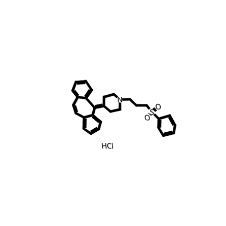 Cl.O=S(=O)(CCCN1CCC(=C2c3ccccc3C=Cc3ccccc32)CC1)c1ccccc1